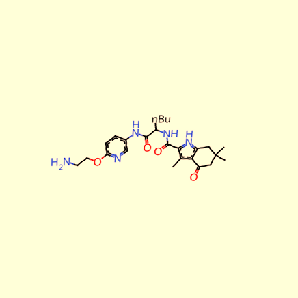 CCCCC(NC(=O)c1[nH]c2c(c1C)C(=O)CC(C)(C)C2)C(=O)Nc1ccc(OCCN)nc1